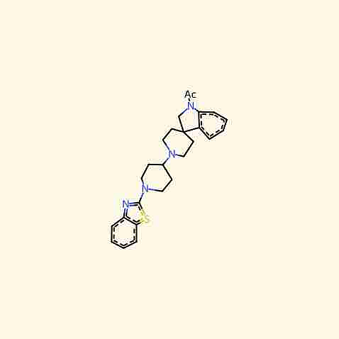 CC(=O)N1CC2(CCN(C3CCN(c4nc5ccccc5s4)CC3)CC2)c2ccccc21